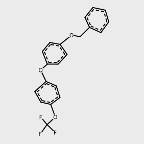 FC(F)(F)Oc1ccc(Oc2ccc(OCc3ccccc3)cc2)cc1